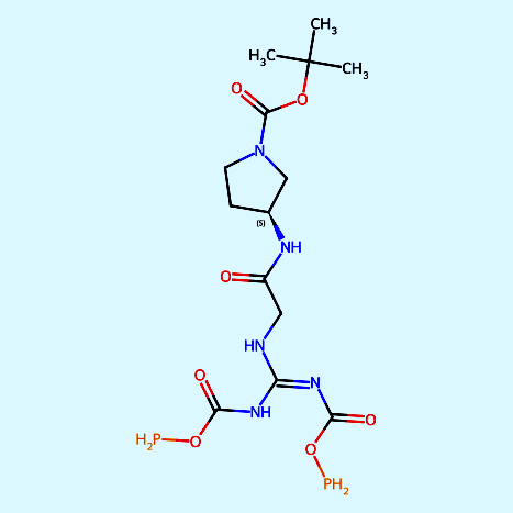 CC(C)(C)OC(=O)N1CC[C@H](NC(=O)CNC(=NC(=O)OP)NC(=O)OP)C1